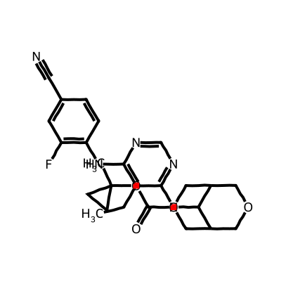 CCc1c(Nc2ccc(C#N)cc2F)ncnc1OC1C2COCC1CN(C(=O)OC1(C)CC1)C2